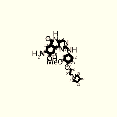 COc1cc(Nc2ncc3[nH]c(=O)c4cc(N)c(O)cc4c3n2)ccc1OCCN1CCCC1